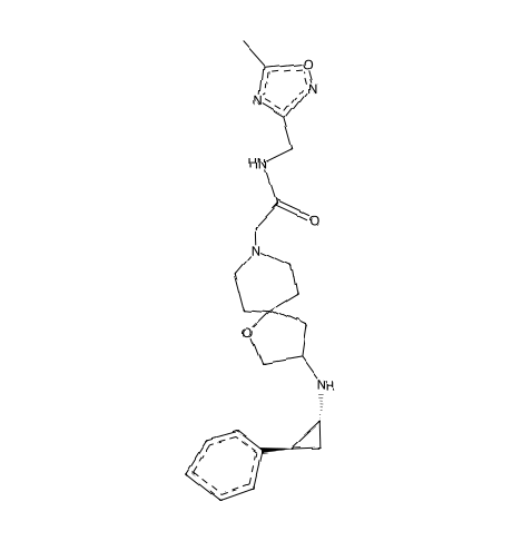 Cc1nc(CNC(=O)CN2CCC3(CC2)CC(N[C@@H]2C[C@H]2c2ccccc2)CO3)no1